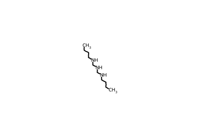 CCCCNCNCNCCCC